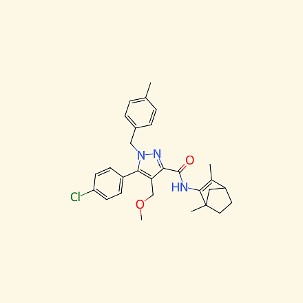 COCc1c(C(=O)NC2=C(C)C3CCC2(C)C3)nn(Cc2ccc(C)cc2)c1-c1ccc(Cl)cc1